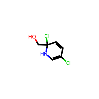 OCC1(Cl)C=CC(Cl)=CN1